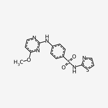 COc1ccnc(Nc2ccc(S(=O)(=O)Nc3nccs3)cc2)n1